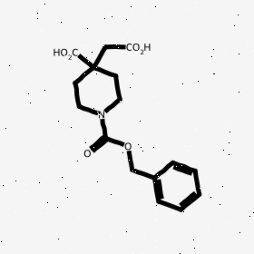 O=C(O)CC1(C(=O)O)CCN(C(=O)OCc2ccccc2)CC1